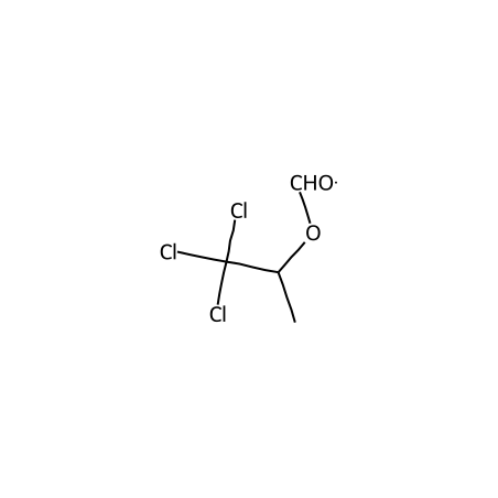 CC(O[C]=O)C(Cl)(Cl)Cl